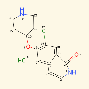 Cl.O=c1[nH]ccc2cc(OC3CCNCC3)c(Cl)cc12